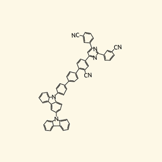 N#Cc1cccc(-c2cc(-c3ccc(-c4ccc(-c5ccc(-n6c7ccccc7c7cc(-n8c9ccccc9c9ccccc98)ccc76)cc5)cc4)c(C#N)c3)nc(-c3cccc(C#N)c3)n2)c1